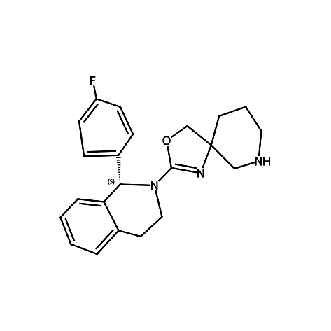 Fc1ccc([C@H]2c3ccccc3CCN2C2=NC3(CCCNC3)CO2)cc1